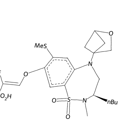 CCCC[C@@H]1CN(C23COC(C2)C3)c2cc(SC)c(O/C=C(\F)C(=O)O)cc2S(=O)(=O)N1C